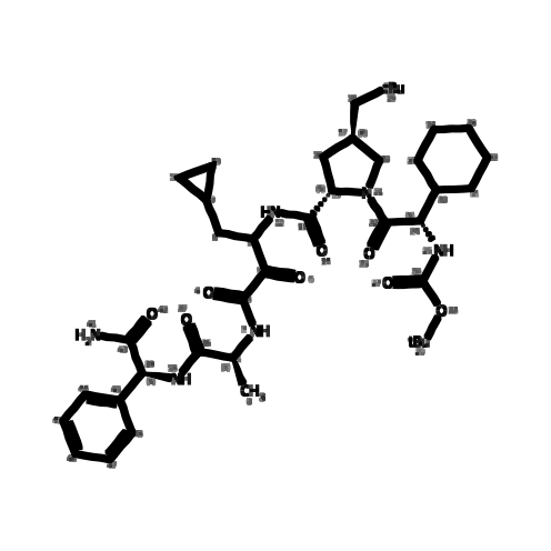 C[C@H](NC(=O)C(=O)C(CC1CC1)NC(=O)[C@@H]1C[C@@H](CC(C)(C)C)CN1C(=O)[C@@H](NC(=O)OC(C)(C)C)C1CCCCC1)C(=O)N[C@H](C(N)=O)c1ccccc1